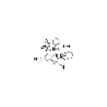 Cc1cc([C@@H](C)Nc2ccccc2C(=O)O)c2nc(N3CC4CCCC(CO)(C3)C4(F)F)c(C#N)nc2c1